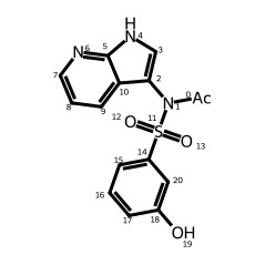 CC(=O)N(c1c[nH]c2ncccc12)S(=O)(=O)c1cccc(O)c1